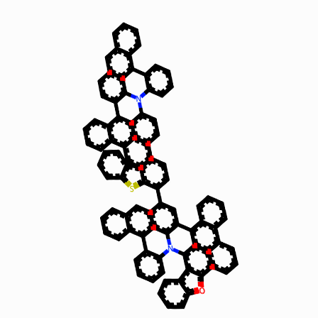 c1ccc(N(c2ccc(-c3ccc(-c4ccc(N(c5ccccc5-c5cccc6ccccc56)c5cccc6oc7ccccc7c56)c(-c5cc6ccccc6c6ccccc56)c4)c4sc5ccccc5c34)cc2)c2ccccc2-c2cc3ccccc3c3ccccc23)c(-c2cccc3ccccc23)c1